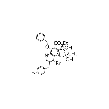 CCOC(=O)c1c(OCc2ccccc2)c2ncc(Cc3ccc(F)cc3)c(Br)c2n(C[C@@](C)(O)CO)c1=O